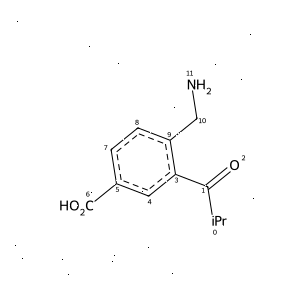 CC(C)C(=O)c1cc(C(=O)O)ccc1CN